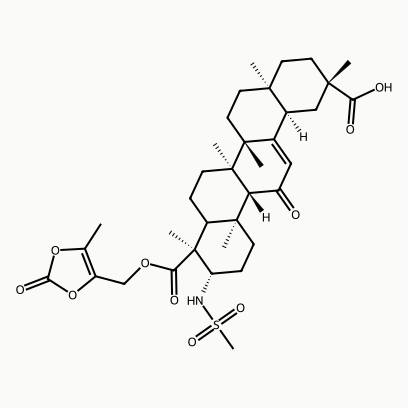 Cc1oc(=O)oc1COC(=O)[C@@]1(C)C2CC[C@]3(C)[C@H](C(=O)C=C4[C@@H]5C[C@@](C)(C(=O)O)CC[C@]5(C)CC[C@]43C)[C@@]2(C)CC[C@@H]1NS(C)(=O)=O